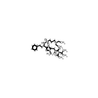 CCN(CC)CCCS(=O)(=O)N[C@H](CCc1ccccc1)c1nc(CN(C)C(=O)N(C(C)C)C(C)C)n(C)n1